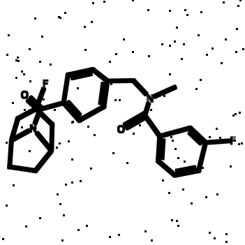 CN(Cc1ccc(C(=O)N2C3CCC2CC(F)C3)cc1)C(=O)c1cccc(F)c1